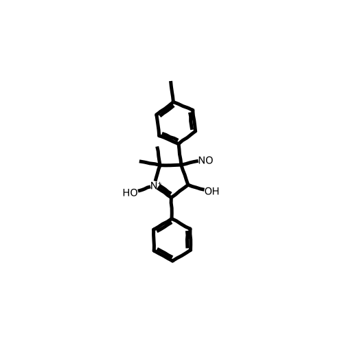 Cc1ccc(C2(N=O)C(O)C(c3ccccc3)=[N+](O)C2(C)C)cc1